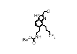 CC(C)(C)OC(=O)NCCc1ccc2[nH]c(CCl)nc2c1CCCC(F)(F)F